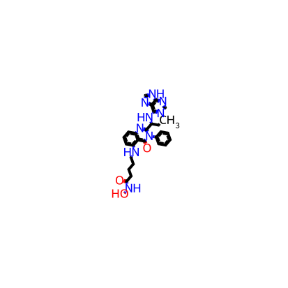 CCC(Nc1ncnc2[nH]cnc12)c1nc2cccc(NCCCCC(=O)NO)c2c(=O)n1-c1ccccc1